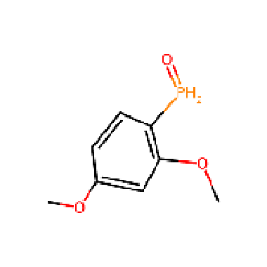 COc1ccc([PH2]=O)c(OC)c1